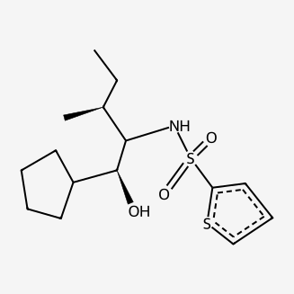 CC[C@H](C)C(NS(=O)(=O)c1cccs1)[C@@H](O)C1CCCC1